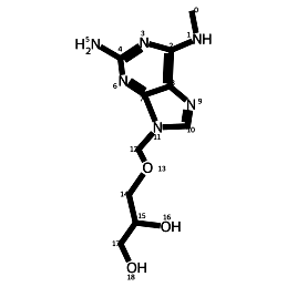 CNc1nc(N)nc2c1ncn2COCC(O)CO